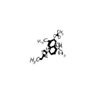 CCc1nc([C@@H]2CC[C@@H](C)[C@]3(O)[C][C@@H](OC(C)=O)C(C)=C[C@@H]23)cs1